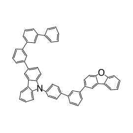 c1ccc(-c2cccc(-c3cccc(-c4ccc5c(c4)c4ccccc4n5-c4ccc(-c5cccc(-c6ccc7oc8ccccc8c7c6)c5)cc4)c3)c2)cc1